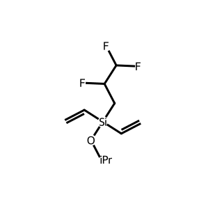 C=C[Si](C=C)(CC(F)C(F)F)OC(C)C